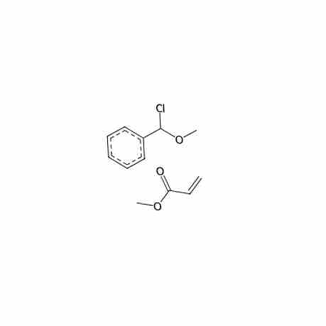 C=CC(=O)OC.COC(Cl)c1ccccc1